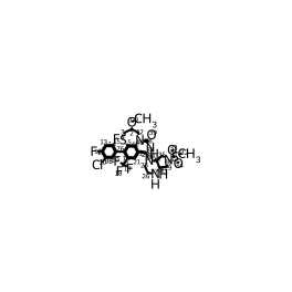 CO[C@@H]1CSc2c(-c3cc(Cl)c(F)cc3F)c(C(F)(F)F)cc3c(N4CCN[C@H]5CN(S(C)(=O)=O)C[C@H]54)nc(=O)n(c23)C1